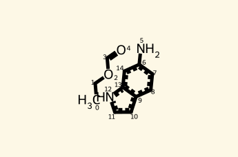 CCOC=O.Nc1ccc2cc[nH]c2c1